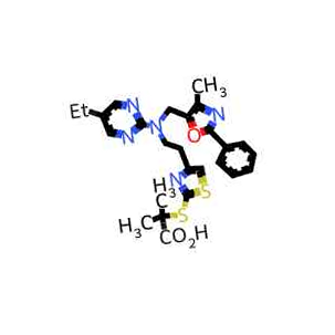 CCc1cnc(N(CCc2csc(SC(C)(C)C(=O)O)n2)Cc2oc(-c3ccccc3)nc2C)nc1